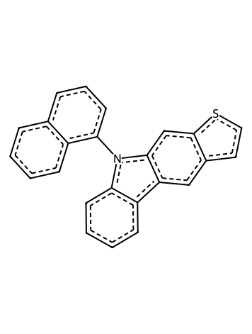 c1ccc2c(-n3c4ccccc4c4cc5ccsc5cc43)cccc2c1